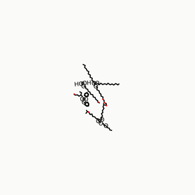 CCCCC(CC)COP(Oc1ccccc1)Oc1ccccc1.CCCCCCCCCCCCCOP(O)O.CCCCCCCCCCCCOP(OCCCCCCCCCCCC)OCCCCCCCCCCCC.CCCCOCCOP(OCCCCCCCC(C)C)OCCCCCCCC(C)C